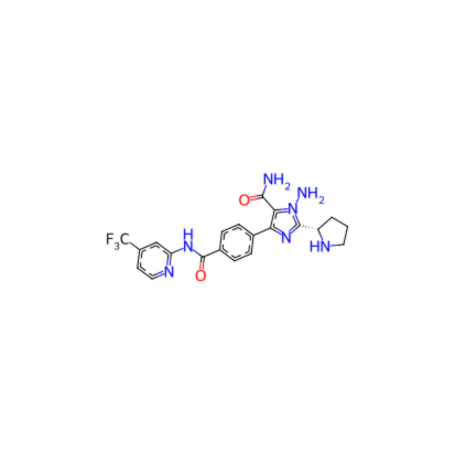 NC(=O)c1c(-c2ccc(C(=O)Nc3cc(C(F)(F)F)ccn3)cc2)nc([C@@H]2CCCN2)n1N